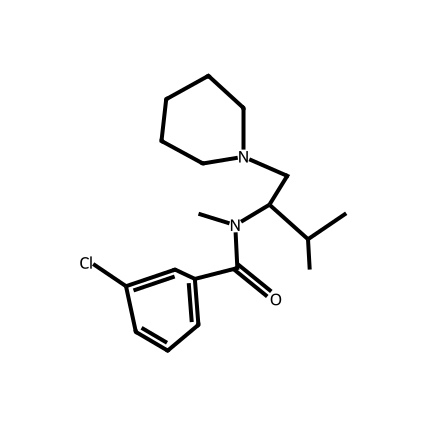 CC(C)C(CN1CCCCC1)N(C)C(=O)c1cccc(Cl)c1